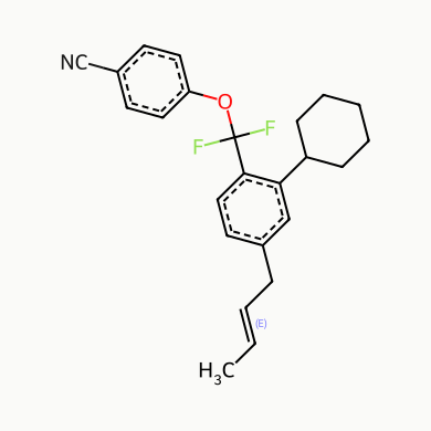 C/C=C/Cc1ccc(C(F)(F)Oc2ccc(C#N)cc2)c(C2CCCCC2)c1